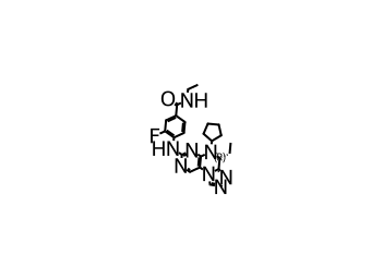 CCNC(=O)c1ccc(Nc2ncc3c(n2)N(C2CCCC2)[C@H](CC)c2nncn2-3)c(F)c1